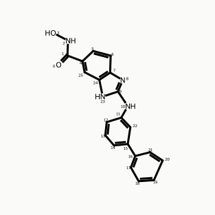 O=C(NO)c1ccc2nc(Nc3cccc(-c4ccccc4)c3)[nH]c2c1